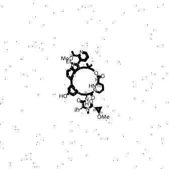 CCn1c(-c2cccnc2[C@H](C)OC)c2c3cc(ccc31)-c1cc(O)cc(c1)C[C@H](NC(=O)[C@H](C(C)C)N(C)C(=O)[C@@H]1C[C@@H]1OC)C(=O)N1CCC[C@H](N1)C(=O)OCC(C)(C)C2